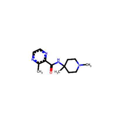 Cc1nccnc1C(=O)NC1(C)CCN(C)CC1